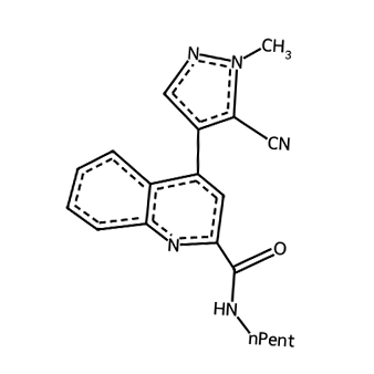 CCCCCNC(=O)c1cc(-c2cnn(C)c2C#N)c2ccccc2n1